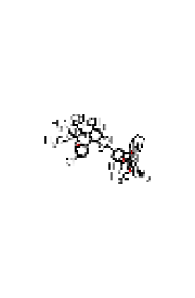 CCOC(=O)[C@@H](OC(C)(C)C)c1c(C)cc2nc(-c3ccc4c(c3)c(N3C5CCC3CN(C(=O)OC(C)(C)C)C5)nn4C)sc2c1-c1ccc(Cl)cc1